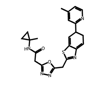 Cc1ccnc(C2C=c3sc(Cc4nnc(CC(=O)NC5(C)CC5)o4)nc3=CC2)c1